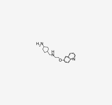 NC1CCC(CNCCOc2ccc3ncccc3c2)CC1